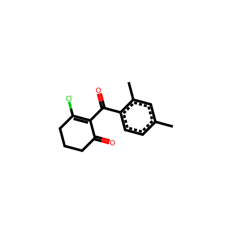 Cc1ccc(C(=O)C2=C(Cl)CCCC2=O)c(C)c1